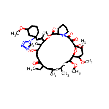 CCC1C=C(C)CC(C)CC(OC)C2OC(O)(C(=O)C(=O)N3CCCCC3C(=O)OC(C(C)=CC3(n4cnnn4)CCCC(OC)C3)C(C)C(O)CC1=O)C(C)CC2OC